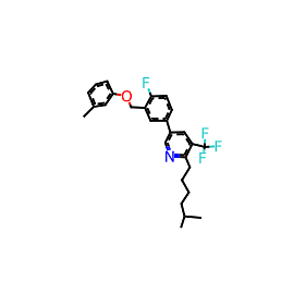 Cc1cccc(OCc2cc(-c3cnc(CCCCC(C)C)c(C(F)(F)F)c3)ccc2F)c1